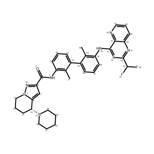 Cc1c(NC(=O)c2cc3n(n2)CCC[C@H]3N2CCCCC2)cccc1-c1cccc(Nc2nc(C(F)F)nc3cccnc23)c1C